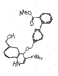 CCCCC1=CNC2=C(CC(CO)CC2)C1OCc1ccc(-c2ccccc2C(=O)OC)cc1